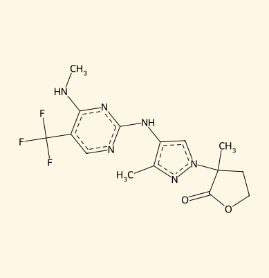 CNc1nc(Nc2cn(C3(C)CCOC3=O)nc2C)ncc1C(F)(F)F